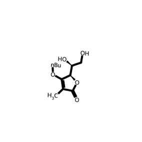 CCCCOC1=C(C)C(=O)O[C@@H]1[C@@H](O)CO